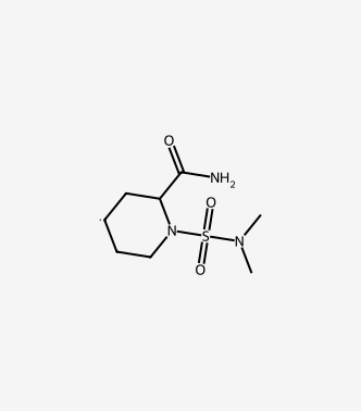 CN(C)S(=O)(=O)N1CC[CH]CC1C(N)=O